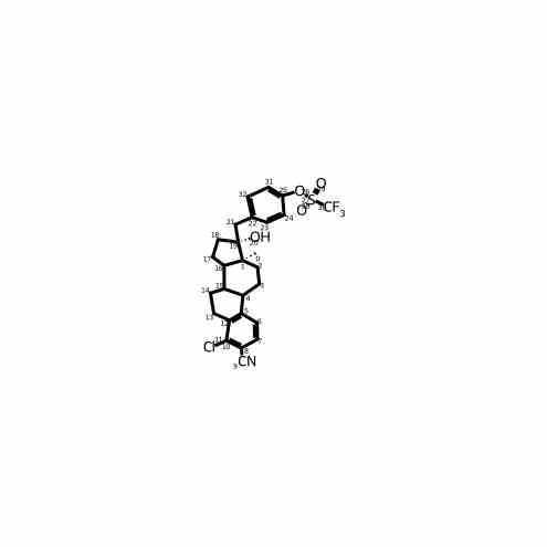 C[C@]12CCC3c4ccc(C#N)c(Cl)c4CCC3C1CC[C@@]2(O)Cc1ccc(OS(=O)(=O)C(F)(F)F)cc1